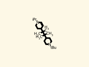 CC(C)N1C=CC(C(C)(C)C(C)(C)C2CCN(C(C)(C)C)CC2)CC1